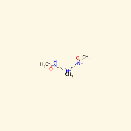 CCC(=O)NCCCCN(C)CCCCNC(=O)CC